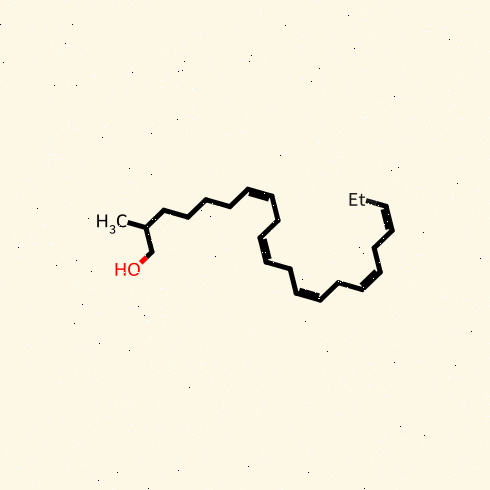 CC/C=C\C/C=C\C/C=C\C/C=C\C/C=C\CCCCC(C)CO